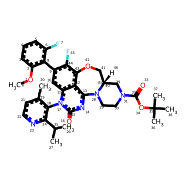 COc1cccc(F)c1-c1cc2c3c(nc(=O)n2-c2c(C)ccnc2C(C)C)N2CCN(C(=O)OC(C)(C)C)C[C@H]2COc3c1F